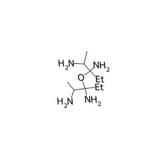 CCC(N)(OC(N)(CC)C(C)N)C(C)N